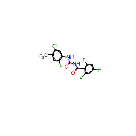 O=C(NC(=O)c1c(F)cc(F)cc1F)Nc1cc(Cl)c(C(F)(F)F)cc1F